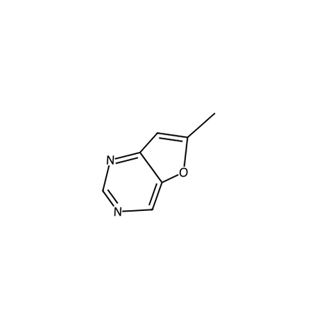 Cc1cc2ncncc2o1